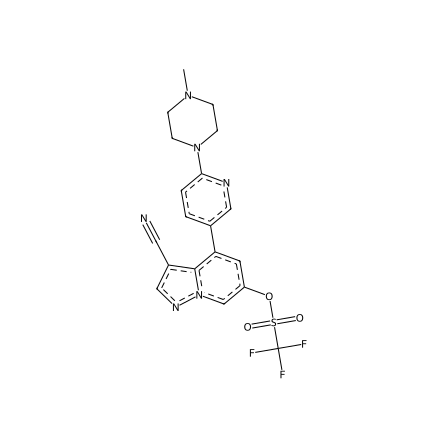 CN1CCN(c2ccc(-c3cc(OS(=O)(=O)C(F)(F)F)cn4ncc(C#N)c34)cn2)CC1